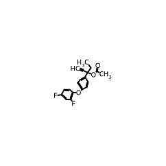 C#CC(CC)(OC(C)=O)c1ccc(Oc2ccc(F)cc2F)cc1